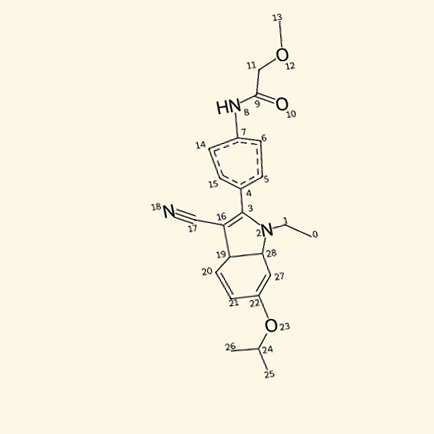 CCN1C(c2ccc(NC(=O)COC)cc2)=C(C#N)C2C=CC(OC(C)C)=CC21